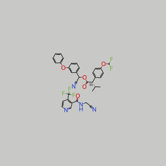 CC(C)[C@H](C(=O)OC(C#N)c1cccc(Oc2ccccc2)c1)c1ccc(OC(F)F)cc1.N#CCNC(=O)c1cnccc1C(F)(F)F